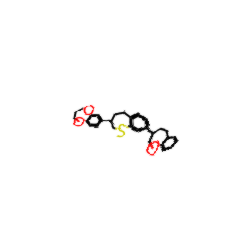 c1ccc2c(c1)CCC(c1ccc3c(c1)SCC(c1ccc4c(c1)OCCCO4)CC3)CO2